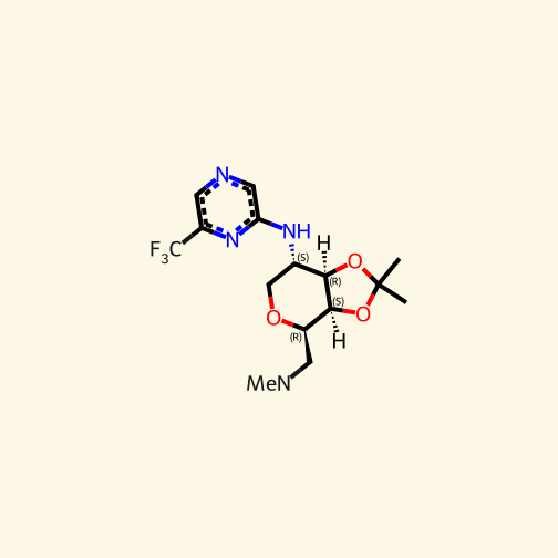 CNC[C@H]1OC[C@H](Nc2cncc(C(F)(F)F)n2)[C@H]2OC(C)(C)O[C@H]21